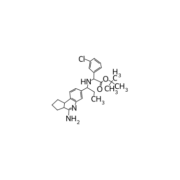 CCC(NC(C(=O)OC(C)(C)C)c1cccc(Cl)c1)c1ccc2c(c1)N=C(N)C1CCCC21